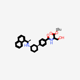 C[C@@H](N[C@H]1CCC[C@H](c2ccc(C(=O)NC(CO)C(=O)OC(C)(C)C)cc2)C1)c1cccc2ccccc12